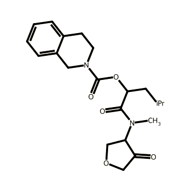 CC(C)CC(OC(=O)N1CCc2ccccc2C1)C(=O)N(C)C1COCC1=O